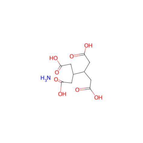 N.O=C(O)CC(CC(=O)O)C(CC(=O)O)CC(=O)O